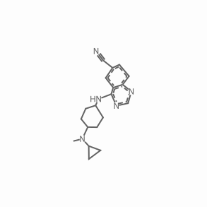 CN(C1CCC(Nc2ncnc3ccc(C#N)cc23)CC1)C1CC1